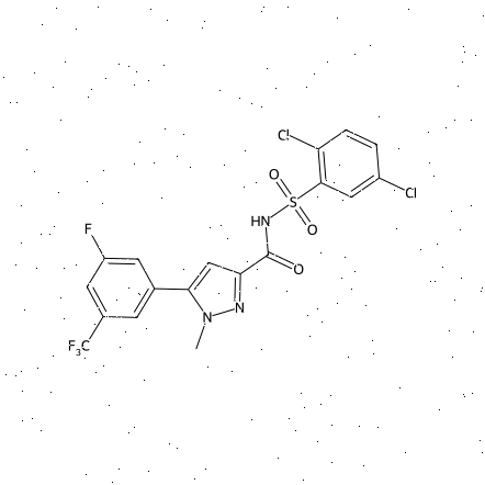 Cn1nc(C(=O)NS(=O)(=O)c2cc(Cl)ccc2Cl)cc1-c1cc(F)cc(C(F)(F)F)c1